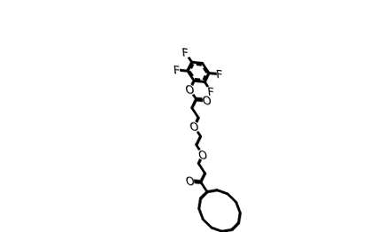 O=C(CCOCCOCCC(=O)C1CCCCCCCCCCC1)Oc1c(F)c(F)cc(F)c1F